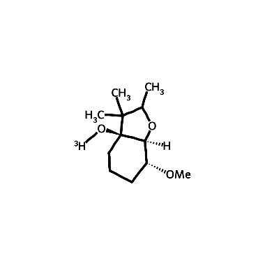 [3H]O[C@]12CCC[C@@H](OC)[C@@H]1OC(C)C2(C)C